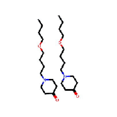 CCCCOCCCCN1CCC(=O)CC1.CCCCOCCCCN1CCC(=O)CC1